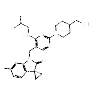 CC(C)CNc1nc(N2CCC(CN)CC2)ncc1CN1C(=O)C2(CC2)c2ccc(F)cc21